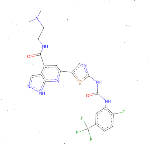 CN(C)CCNC(=O)c1cc(-c2cnc(NC(=O)Nc3cc(C(F)(F)F)ccc3F)s2)nc2[nH]ncc12